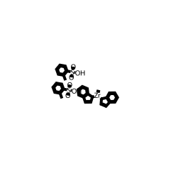 Cc1ccccc1S(=O)(=O)O.Cc1ccccc1S(=O)(=O)O.[CH2]=[Zr]([CH]1C=Cc2ccccc21)[CH]1C=Cc2ccccc21